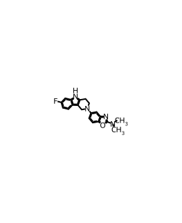 CN(C)c1nc2cc(N3CCc4[nH]c5cc(F)ccc5c4C3)ccc2o1